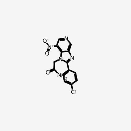 NC(=O)Cn1c(-c2ccc(Cl)cc2)nc2cncc([N+](=O)[O-])c21